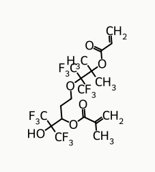 C=CC(=O)OC(C)(C)C(OCCC(OC(=O)C(=C)C)C(O)(C(F)(F)F)C(F)(F)F)(C(F)(F)F)C(F)(F)F